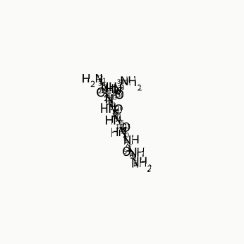 NCCNC(=O)CCNCCNC(=O)CCNCCC(=O)NCCN(CCC(=O)NCCN)CCC(=O)NCCN